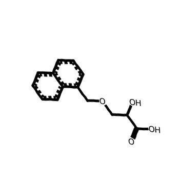 O=C(O)C(O)COCc1cccc2ccccc12